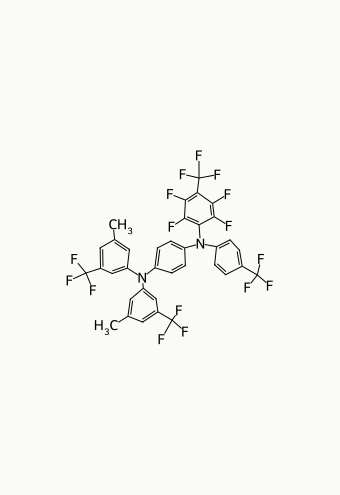 Cc1cc(N(c2ccc(N(c3ccc(C(F)(F)F)cc3)c3c(F)c(F)c(C(F)(F)F)c(F)c3F)cc2)c2cc(C)cc(C(F)(F)F)c2)cc(C(F)(F)F)c1